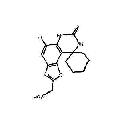 O=C(O)Cc1nc2cc(Cl)c3c(c2o1)C1(CCCCC1)NC(=O)N3